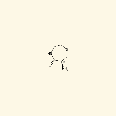 N[C@@H]1CSCCNC1=O